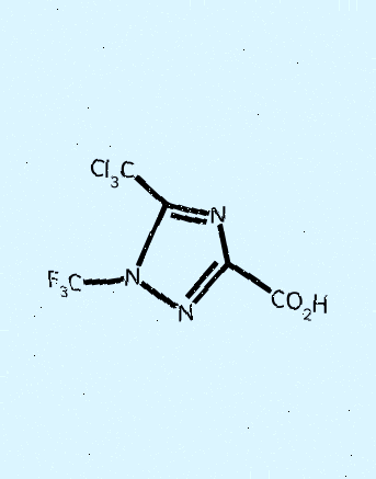 O=C(O)c1nc(C(Cl)(Cl)Cl)n(C(F)(F)F)n1